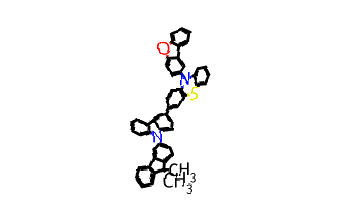 CC1(C)c2ccccc2-c2cc(-n3c4ccccc4c4cc(-c5ccc6c(c5)Sc5ccccc5N6c5ccc6oc7ccccc7c6c5)ccc43)ccc21